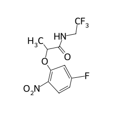 CC(Oc1cc(F)ccc1[N+](=O)[O-])C(=O)NCC(F)(F)F